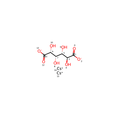 O=C([O-])[C@@H](O)[C@@H](O)[C@H](O)[C@@H](O)C(=O)[O-].[Cs+].[Cs+]